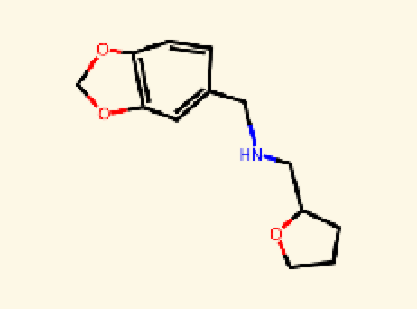 c1cc2c(cc1CNCC1CCCO1)OCO2